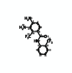 Nc1ccc(C(=O)Nc2ccccc2C(F)(F)F)c(C(F)(F)F)c1N